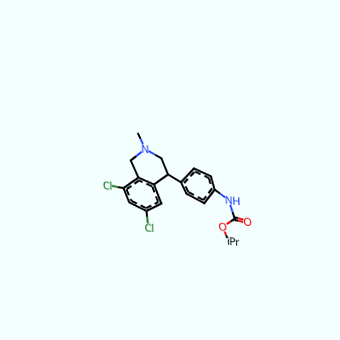 CC(C)OC(=O)Nc1ccc(C2CN(C)Cc3c(Cl)cc(Cl)cc32)cc1